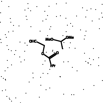 CCCC(=O)OCC=O.COC(C)OC